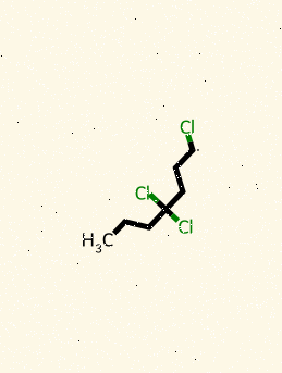 CCCC(Cl)(Cl)CC[CH]Cl